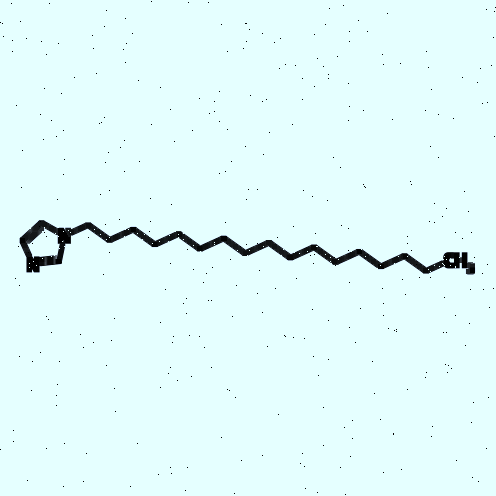 CCCCCCCCCCCCCCCCCn1ccnc1